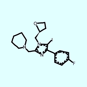 Fc1ccc(-c2nc(CN3CCCCC3)n(C[C@@H]3CCO3)c2I)cc1